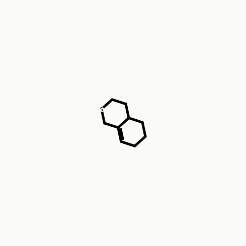 C1=C2CSCCC2CCC1